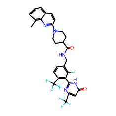 Cc1cccc2ccc(N3CCC(C(=O)NCc4ccc(C(F)(F)F)c(-c5nc(C(F)(F)F)cc(=O)[nH]5)c4F)CC3)nc12